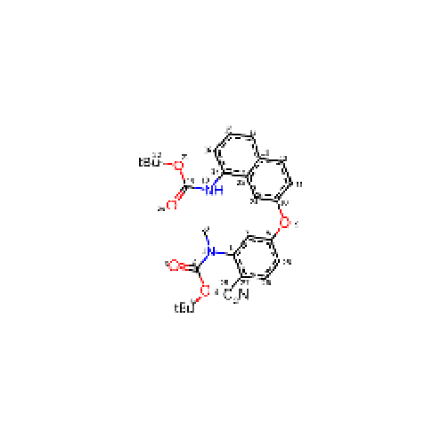 CN(C(=O)OC(C)(C)C)c1cc(Oc2ccc3cccc(NC(=O)OC(C)(C)C)c3c2)ccc1[N+](=O)[O-]